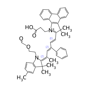 CC(/C=C(/C=C/C1=[N+](CCC(=O)O)c2c(c3ccccc3c3ccccc23)C1(C)C)c1ccccc1)=C1/N(CCOC=O)c2ccc(C)cc2C1(C)C